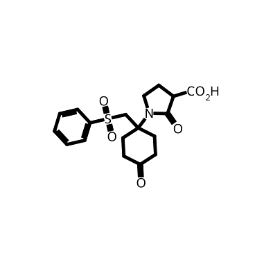 O=C1CCC(CS(=O)(=O)c2ccccc2)(N2CCC(C(=O)O)C2=O)CC1